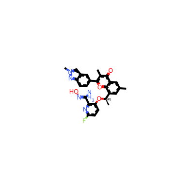 Cc1cc([C@@H](C)Oc2ccc(F)nc2C(N)=NO)c2oc(-c3ccc4nn(C)cc4c3)c(C)c(=O)c2c1